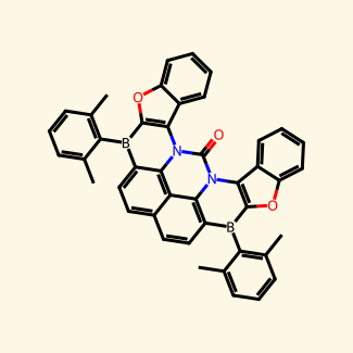 Cc1cccc(C)c1B1c2ccc3ccc4c5c3c2N(C(=O)N5c2c(oc3ccccc23)B4c2c(C)cccc2C)c2c1oc1ccccc21